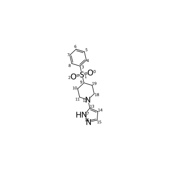 O=S(=O)(c1ccccc1)C1CCN(c2ccn[nH]2)CC1